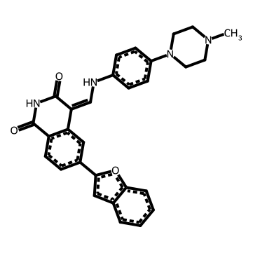 CN1CCN(c2ccc(NC=C3C(=O)NC(=O)c4ccc(-c5cc6ccccc6o5)cc43)cc2)CC1